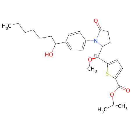 CCCCCCC(O)c1ccc(N2C(=O)CCC2[C@H](OC)c2ccc(C(=O)OC(C)C)s2)cc1